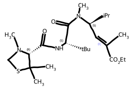 CCOC(=O)/C(C)=C/[C@H](C(C)C)N(C)C(=O)[C@@H](NC(=O)[C@H]1N(C)CSC1(C)C)C(C)(C)C